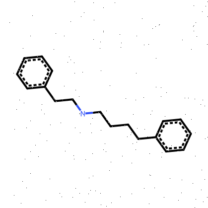 c1ccc(CCCC[N]CCc2ccccc2)cc1